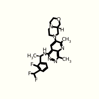 Cc1nc2c(C)nnc(N[C@H](C)c3cccc(C(F)F)c3F)c2cc1N1CCN2CCOC[C@@H]2C1